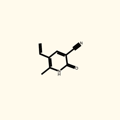 C=Cc1cc(C#N)c(=O)[nH]c1C